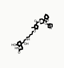 Cc1cc(C(=O)N2CCC(C(=O)OC3CN4CCC3CC4)(c3ccccc3)CC2)ccc1OCCCCCNCC(O)c1ccc(O)c2[nH]c(=O)ccc12